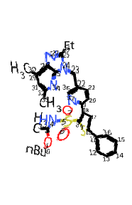 CCCCOC(C)NS(=O)(=O)c1sc(-c2ccccc2)cc1-c1ccc(Cn2c(CC)nc3c(C)cc(C)nc32)cn1